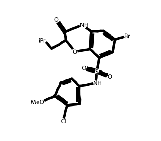 COc1ccc(NS(=O)(=O)c2cc(Br)cc3c2OC(CC(C)C)C(=O)N3)cc1Cl